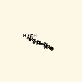 CC(O)c1nccn1Cc1cc(-c2ccc(C#Cc3ccc(CNC4CCSC4)cc3)cc2)on1